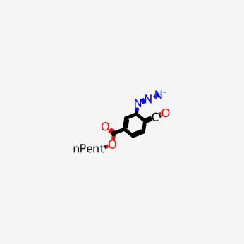 CCCCCOC(=O)C1=CC(N=[N+]=[N-])C(=C=O)C=C1